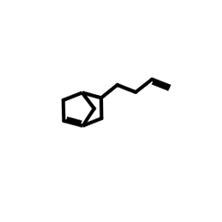 C=CCCC1CC2=CCC1C2